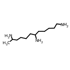 CC(N)CCCCC(N)CCCCCN